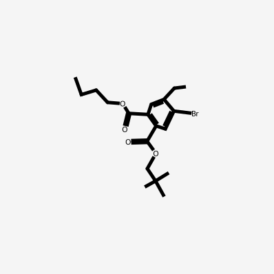 CCCCOC(=O)c1cc(CC)c(Br)cc1C(=O)OCC(C)(C)C